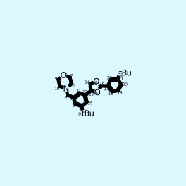 CC(C)(C)c1cc(CN2CCOCC2)cc(C2COC(c3cccc(C(C)(C)C)c3)O2)c1